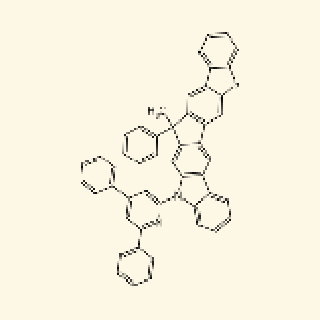 CC1(c2ccccc2)c2cc3c(cc2-c2cc4c5ccccc5n(-c5cc(-c6ccccc6)cc(-c6ccccc6)n5)c4cc21)sc1ccccc13